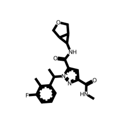 CNC(=O)c1cc(C(=O)NC2C3COCC32)n(C(C)c2cccc(F)c2C)n1